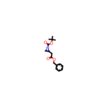 CC(C)(C)OC(=O)N1CC1CC(=O)OCc1ccccc1